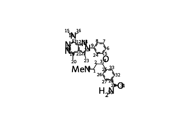 CNCCC(Oc1cccc(-n2nc3c(N(C)C)nnc(C)c3c2C)c1)c1ccc(C(N)=O)cc1